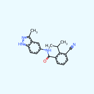 Cc1n[nH]c2ccc(NC(=O)c3cccc(C#N)c3C(C)C)cc12